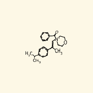 C/C(=C\[N+]1(C(=O)c2ccccc2)CCOCC1)c1ccc(C(C)C)cc1